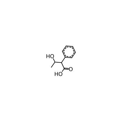 CC(O)C(C(=O)O)c1ccccc1